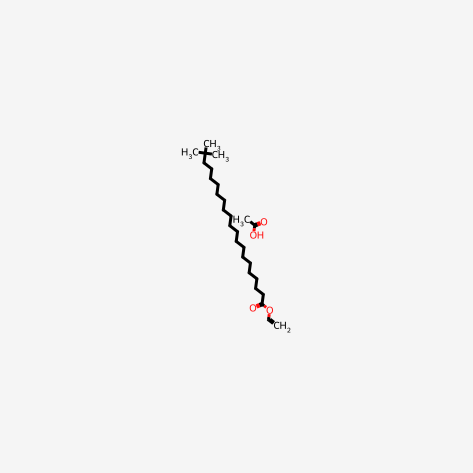 C=COC(=O)CCCCCCCCCCCCCCCCCCC(C)(C)C.CC(=O)O